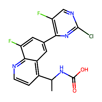 CC(NC(=O)O)c1ccnc2c(F)cc(-c3nc(Cl)ncc3F)cc12